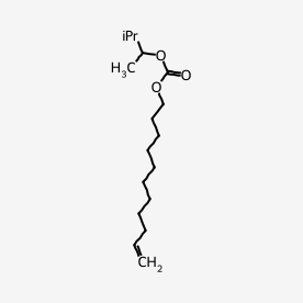 C=CCCCCCCCCCOC(=O)OC(C)C(C)C